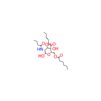 CCCCCC(=O)OC[C@H]1OC(O)[C@H](NC(=O)CCC)[C@@H](O)[C@@]1(O)C(=O)CCCCC